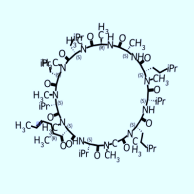 C/C=C/C[C@@H](C)C(=O)[C@H]1C(=O)N[C@@H](C(C)C)C(=O)N(C)CC(=O)N(C)[C@@H](CCC(C)C)C(=O)N[C@@H](C(C)C)C(=O)N(C)[C@@H](CCC(C)C)C(=O)N[C@@H](C)C(=O)N[C@H](C)C(=O)N(C)[C@@H](CC(C)C)C(=O)N(C)[C@@H](CC(C)C)C(=O)N(C)[C@@H](C(C)C)C(=O)N1C